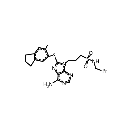 Cc1cc2c(cc1Sc1nc3c(N)ncnc3n1CCCS(=O)(=O)NCC(C)C)CCC2